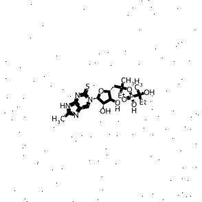 CCC(C)(C[C@H]1O[C@@H](n2cc3nc(C)[nH]c3nc2=S)[C@@H](O)C1O)OP(=O)(O)C(C)(O)CC